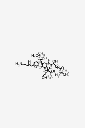 CC[C@@H](O)[C@H](OCCO)O[C@@H]1[C@@H](O)[C@H](O[C@@H]2CCC=C(CNCCCN)O2)[C@@H](NC(=O)OC(C)(C)C)C[C@H]1NC(=O)C(O)C1CN(C(=O)OC(C)(C)C)C1